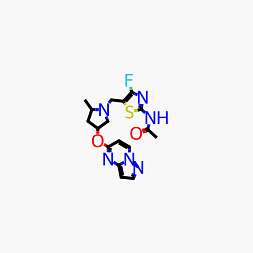 CC(=O)Nc1nc(F)c(CN2CC(Oc3ccn4nccc4n3)CC2C)s1